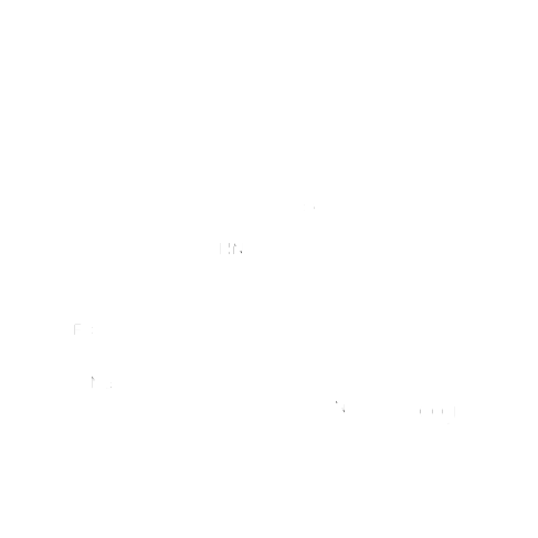 Cn1c(C(=O)O)cc2cc(NC(=O)c3ccccc3-c3ccc(C(F)(F)F)cc3)ccc21.[Na]